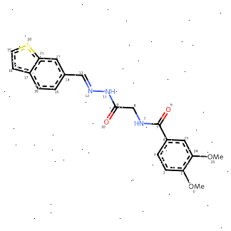 COc1ccc(C(=O)NCC(=O)N/N=C/c2ccc3ccsc3c2)cc1OC